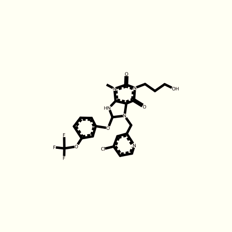 Cn1c2c(c(=O)n(CCCO)c1=O)N(Cc1cc(Cl)ccn1)C(Oc1cccc(OC(F)(F)F)c1)N2